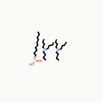 CCCCCCCCCCOB(O)O.CCCCN(CCCC)CCCC.CCCCN(CCCC)CCCC